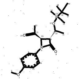 COc1ccc(N2C(=O)[C@@H](C(C)O[Si](C)(C)C(C)(C)C)[C@@H]2C(C)=O)cc1